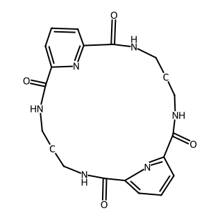 O=C1NCCCNC(=O)c2cccc(n2)C(=O)NCCCNC(=O)c2cccc1n2